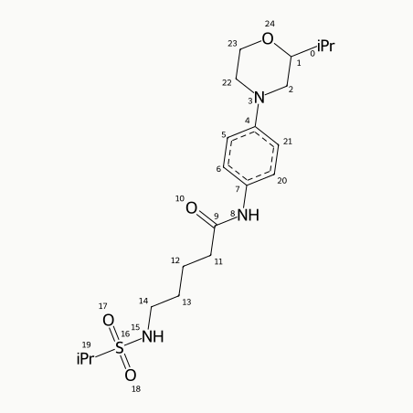 CC(C)C1CN(c2ccc(NC(=O)CCCCNS(=O)(=O)C(C)C)cc2)CCO1